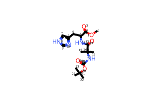 COC(=O)C(Cc1c[nH]cn1)NC(=O)C(C)(C)NC(=O)OC(C)(C)C